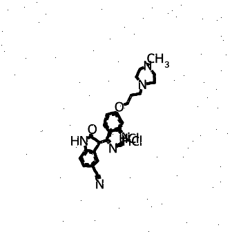 CN1CCN(CCCOc2ccc3c(C4C(=O)Nc5ccc(C#N)cc54)ncnc3c2)CC1.Cl.Cl